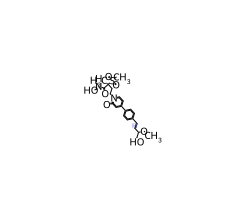 COC(/C=C/c1ccc(-c2ccn(CCC(C)(C(=O)NO)S(C)(=O)=O)c(=O)c2)cc1)CO